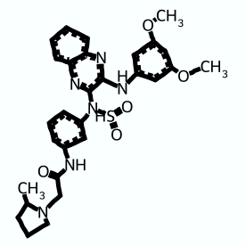 COc1cc(Nc2nc3ccccc3nc2N(c2cccc(NC(=O)CN3CCCC3C)c2)[SH](=O)=O)cc(OC)c1